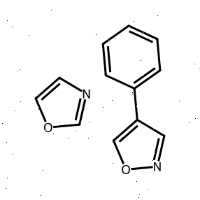 c1ccc(-c2cnoc2)cc1.c1cocn1